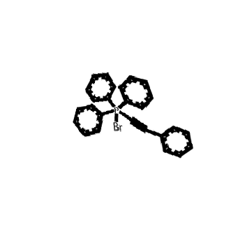 BrP(C#Cc1ccccc1)(c1ccccc1)(c1ccccc1)c1ccccc1